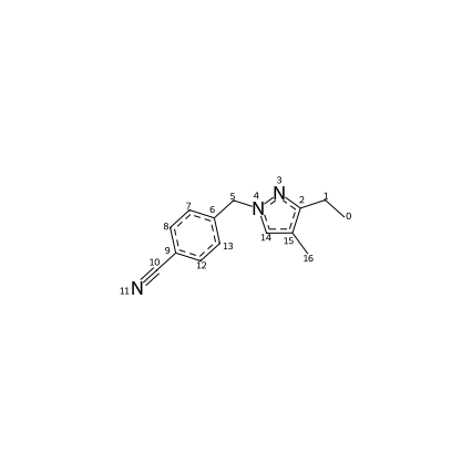 CCc1nn(Cc2ccc(C#N)cc2)cc1C